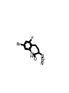 [N-]=[N+]=NC1CCc2c(F)cc(Br)cc2NC1=O